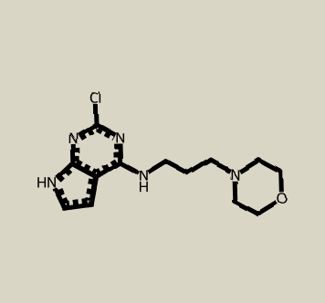 Clc1nc(NCCCN2CCOCC2)c2cc[nH]c2n1